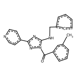 Cc1cccc(C(=O)n2nc(-c3ccncc3)nc2NCc2ccccc2)c1